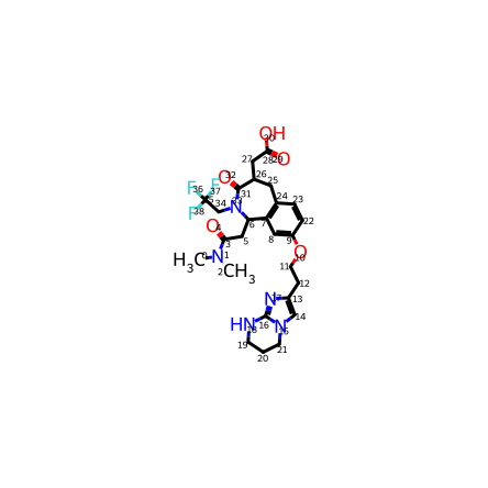 CN(C)C(=O)CC1c2cc(OCCc3cn4c(n3)NCCC4)ccc2CC(CC(=O)O)C(=O)N1CC(F)(F)F